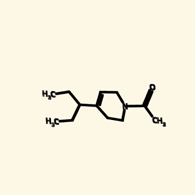 CCC(CC)C1=CCN(C(C)=O)CC1